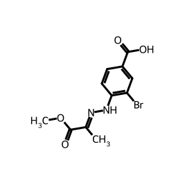 COC(=O)/C(C)=N/Nc1ccc(C(=O)O)cc1Br